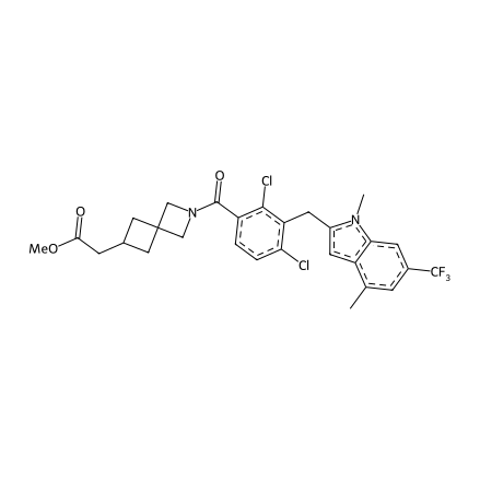 COC(=O)CC1CC2(C1)CN(C(=O)c1ccc(Cl)c(Cc3cc4c(C)cc(C(F)(F)F)cc4n3C)c1Cl)C2